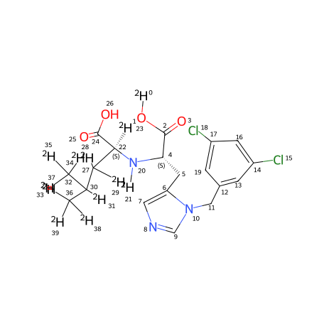 [2H]OC(=O)[C@H](Cc1cncn1Cc1cc(Cl)cc(Cl)c1)N([2H])[C@]([2H])(C(=O)O)C([2H])([2H])C([2H])(C([2H])([2H])[2H])C([2H])([2H])[2H]